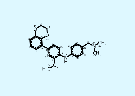 COc1nc(-c2cccc3c2OCCO3)ccc1Nc1ccc(CN(C)C)cc1